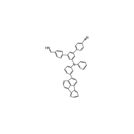 N#Cc1ccc(-c2cc(-c3ccc(C=N)cc3)cc(N(c3ccccc3)c3cccc(-c4ccc5c6c(cccc46)-c4ccccc4-5)c3)c2)cc1